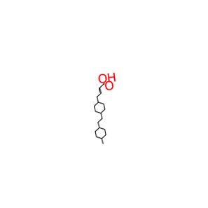 CC1CCC(CCC2CCC(CC=CC(=O)O)CC2)CC1